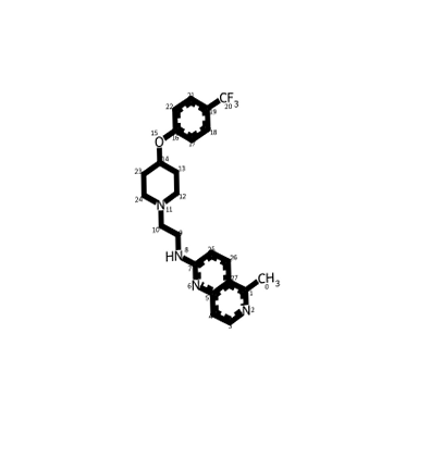 Cc1nccc2nc(NCCN3CCC(Oc4ccc(C(F)(F)F)cc4)CC3)ccc12